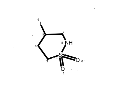 O=S1(=O)CCC(I)CN1